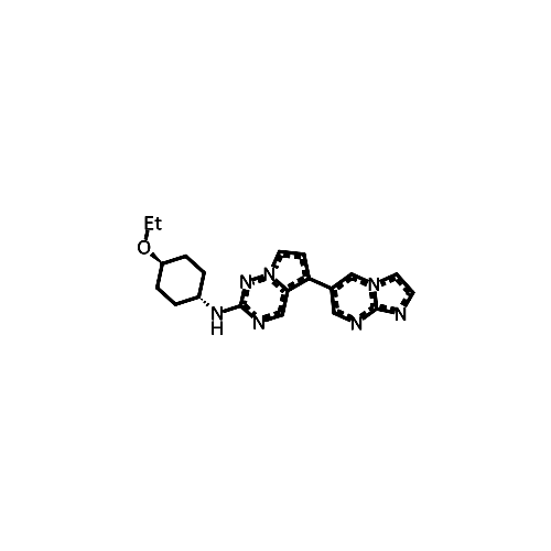 CCO[C@H]1CC[C@H](Nc2ncc3c(-c4cnc5nccn5c4)ccn3n2)CC1